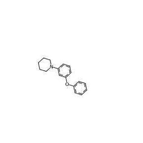 c1ccc(Oc2cccc(N3CCCCC3)c2)cc1